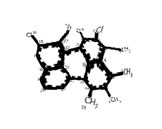 Cc1c(C)c2c(C)c(Cl)c(Cl)c3c4c(Cl)c(Cl)cc5cccc(c(c1C)c23)c54